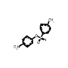 Cc1ccc(S(=O)(=S)Oc2ccc([N+](=O)[O-])cc2)cc1